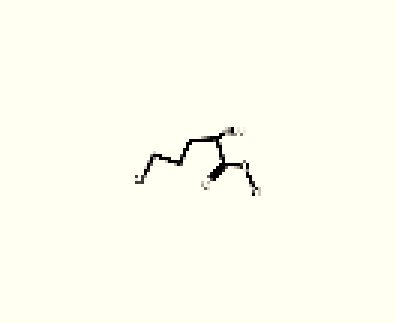 CCCCC(CCCCl)C(=O)OCl